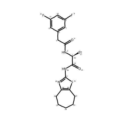 CC[C@H](NC(=O)Cc1cc(F)cc(F)c1)C(=O)Nc1nc2c(s1)CCCCC2